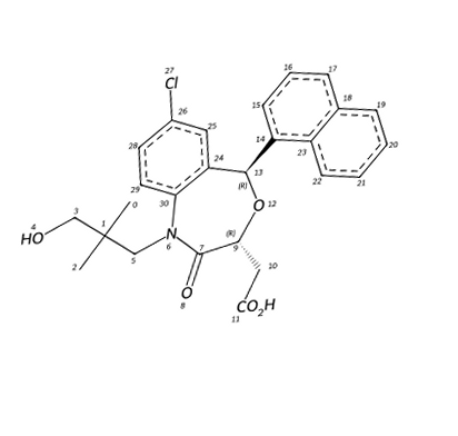 CC(C)(CO)CN1C(=O)[C@@H](CC(=O)O)O[C@H](c2cccc3ccccc23)c2cc(Cl)ccc21